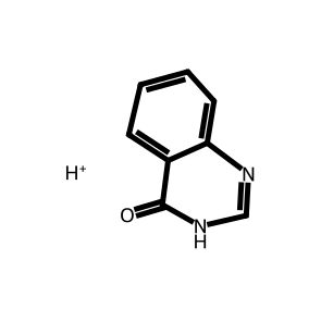 O=c1[nH]cnc2ccccc12.[H+]